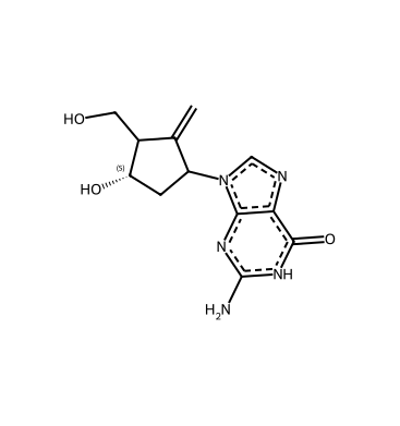 C=C1C(CO)[C@@H](O)CC1n1cnc2c(=O)[nH]c(N)nc21